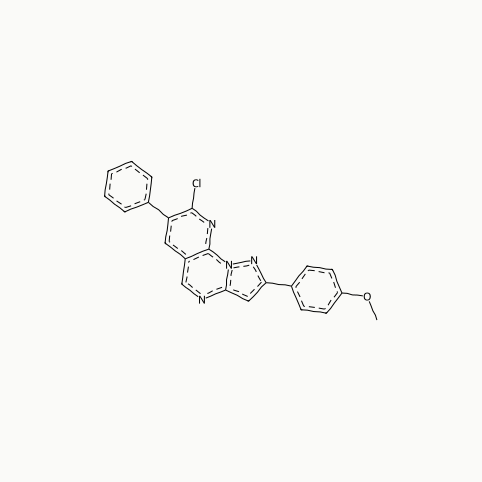 COc1ccc(-c2cc3ncc4cc(-c5ccccc5)c(Cl)nc4n3n2)cc1